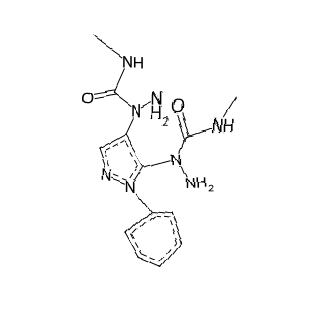 CNC(=O)N(N)c1cnn(-c2ccccc2)c1N(N)C(=O)NC